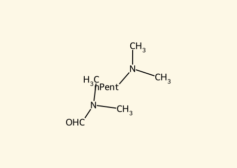 CCCCCN(C)C.CN(C)C=O